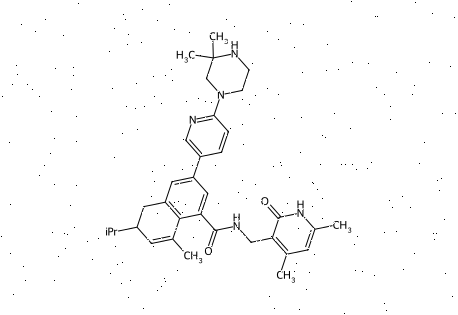 CC1=CC(C(C)C)Cc2cc(-c3ccc(N4CCNC(C)(C)C4)nc3)cc(C(=O)NCc3c(C)cc(C)[nH]c3=O)c21